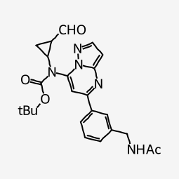 CC(=O)NCc1cccc(-c2cc(N(C(=O)OC(C)(C)C)C3CC3C=O)n3nccc3n2)c1